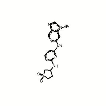 CC(C)n1cnc2cnc(Nc3ccnc(NC4CCS(=O)(=O)C4)n3)cc21